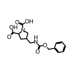 O=C(NCC1CC(C(=O)O)N(C(=O)O)C1)OCc1ccccc1